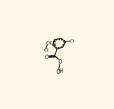 ClC(Cl)(Cl)Cl.O=C(OO)c1cccc(Cl)c1